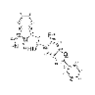 OC(CC1c2ccccc2-c2cncn21)c1cc2c(cc1F)OC(c1ccccc1)C2